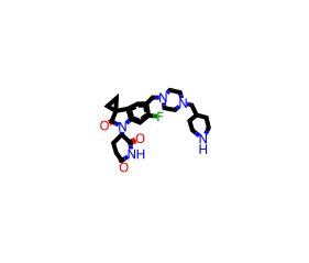 O=C1CCC(N2C(=O)C3(CC3)c3cc(CN4CCN(CC5CCNCC5)CC4)c(F)cc32)C(=O)N1